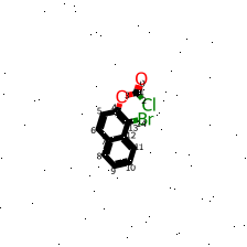 O=C(Cl)Oc1ccc2ccccc2c1Br